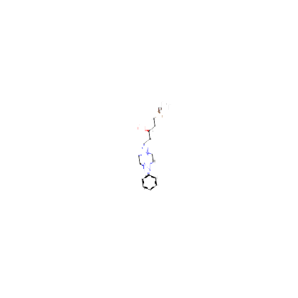 CC(C)SCCC(=O)CCN1CCN(c2ccccc2)CC1